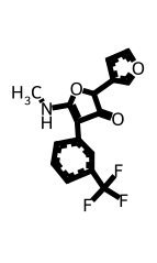 CNC1=C(c2cccc(C(F)(F)F)c2)C(=O)C(c2ccoc2)O1